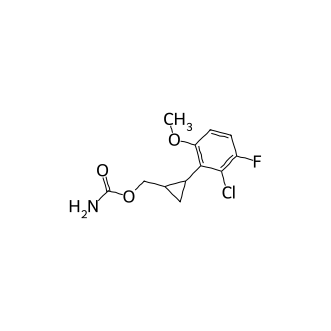 COc1ccc(F)c(Cl)c1C1CC1COC(N)=O